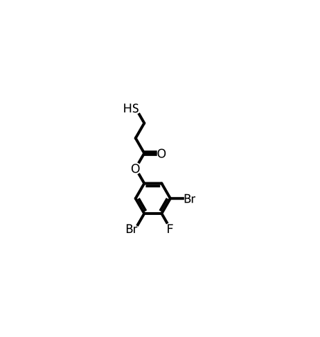 O=C(CCS)Oc1cc(Br)c(F)c(Br)c1